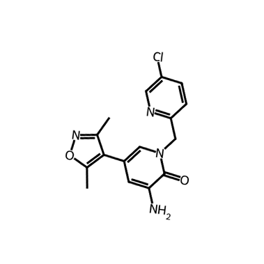 Cc1noc(C)c1-c1cc(N)c(=O)n(Cc2ccc(Cl)cn2)c1